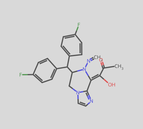 C=NN1/C(=C(/O)C(C)=O)c2nccn2CC1C(c1ccc(F)cc1)c1ccc(F)cc1